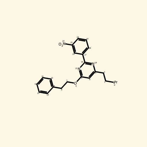 CC(C)CCc1cc(OCCc2ccccc2)nc(-c2cccc([N+](=O)[O-])c2)n1